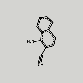 C#Cc1ccc2ccccc2c1N